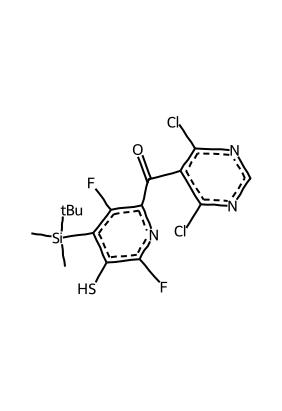 CC(C)(C)[Si](C)(C)c1c(F)c(C(=O)c2c(Cl)ncnc2Cl)nc(F)c1S